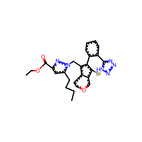 CCCCc1cc(C(=O)OCC)nn1Cc1c2ccocc-2c(Br)c1-c1ccccc1-c1nnn[nH]1